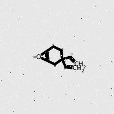 C=CC1(C=C)CCC2=C(C1)O2